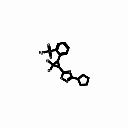 NS(=O)(=O)c1ccccc1C1C(c2nc(C3CCCC3)no2)C1(Cl)Cl